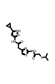 CC(C)SCC(=O)Nc1nc(CC(=O)Nc2cc(C3CC3)[nH]n2)cs1